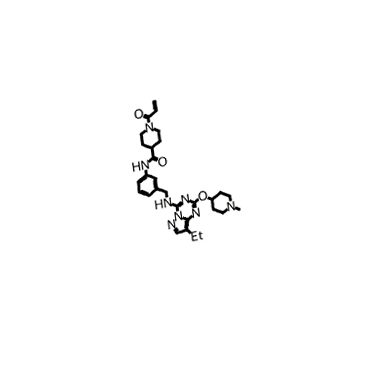 C=CC(=O)N1CCC(C(=O)Nc2cccc(CNc3nc(OC4CCN(C)CC4)nc4c(CC)cnn34)c2)CC1